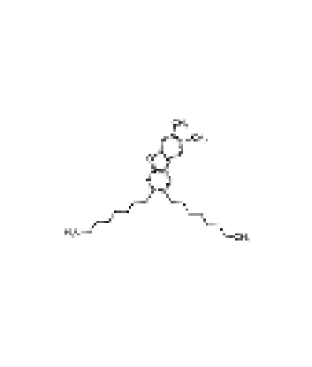 CCCCCCCCc1cc2oc3cc(C)c(C)cc3c2cc1CCCCCCCC